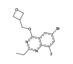 CCc1nc(OCC2COC2)c2cc(Br)cc(F)c2n1